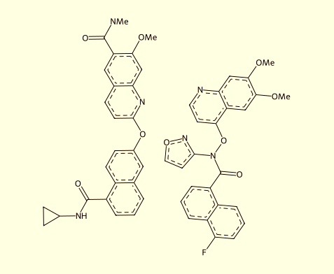 CNC(=O)c1cc2ccc(Oc3ccc4c(C(=O)NC5CC5)cccc4c3)nc2cc1OC.COc1cc2nccc(ON(C(=O)c3cccc4c(F)cccc34)c3ccon3)c2cc1OC